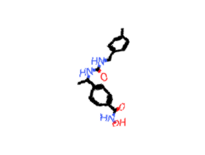 Cc1ccc(CNC(=O)NC(C)c2ccc(C(=O)NO)cc2)cc1